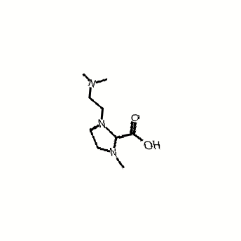 CN(C)CCN1CCN(C)C1C(=O)O